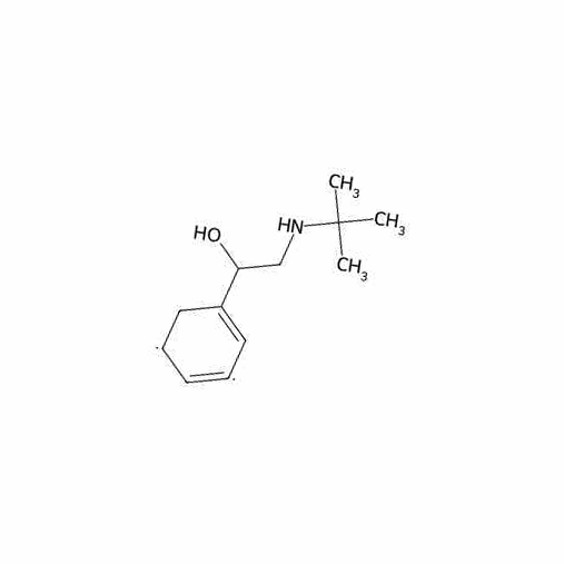 CC(C)(C)NCC(O)C1=C[C]=C[CH]C1